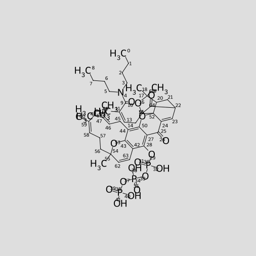 CCCCN(CCCC)C(=O)/C(C)=C\CC12OC(C)(C)C3CC(C=C4C(=O)c5c(OP(=O)(O)OP(=O)(O)OP(=O)(O)O)c6c(c(CC=C(C)C)c5OC431)OC(C)(CCC=C(C)C)C=C6)C2=O